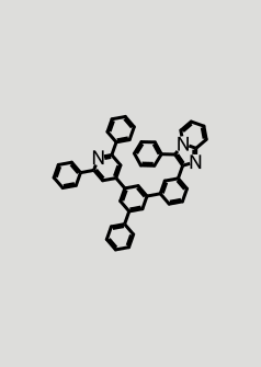 c1ccc(-c2cc(-c3cccc(-c4nc5ccccn5c4-c4ccccc4)c3)cc(-c3cc(-c4ccccc4)nc(-c4ccccc4)c3)c2)cc1